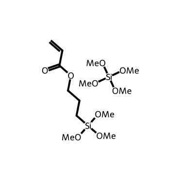 C=CC(=O)OCCC[Si](OC)(OC)OC.CO[Si](OC)(OC)OC